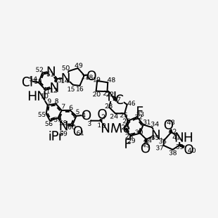 CNC(=O)COc1cc2cc(Nc3nc(N4CCC(O[C@H]5C[C@H](N6CCC(c7cc(F)c8c(c7F)CN([C@H]7CCC(=O)NC7=O)C8=O)CC6)C5)CC4)ncc3Cl)ccc2n(C(C)C)c1=O